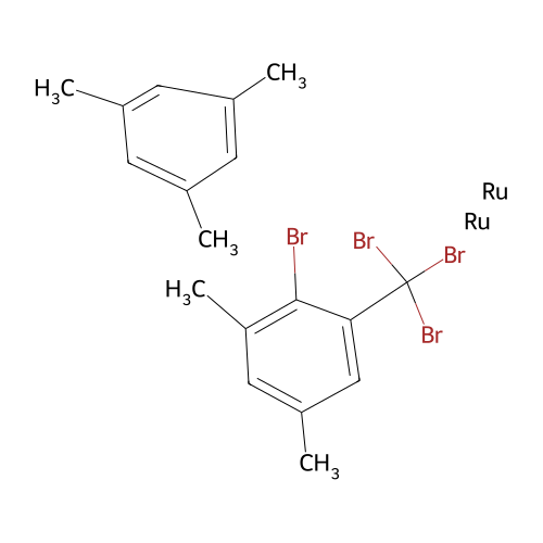 Cc1cc(C)c(Br)c(C(Br)(Br)Br)c1.Cc1cc(C)cc(C)c1.[Ru].[Ru]